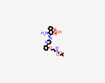 CC(C)(C)OC(=O)NCCCOc1ccccc1-c1ccc(N=Nc2cc(S(=O)(=O)O)c3ccccc3c2N)cn1